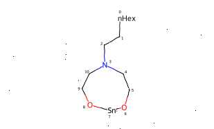 CCCCCCCCN1CC[O][Sn][O]CC1